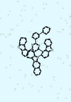 c1ccc(-c2cccc(-c3nc(-c4cccc5oc6ccccc6c45)nc(-c4c(-n5c6ccccc6c6cc7ccccc7cc65)ccc5oc6ccccc6c45)n3)c2)cc1